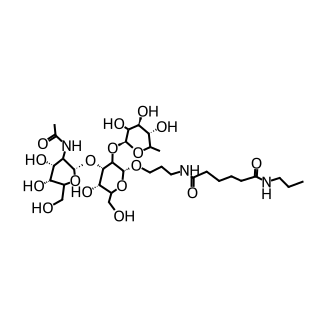 CCCNC(=O)CCCCC(=O)NCCCO[C@@H]1OC(CO)[C@H](O)[C@H](O[C@@H]2OC(CO)[C@H](O)[C@H](O)C2NC(C)=O)C1O[C@@H]1OC(C)[C@@H](O)[C@H](O)C1O